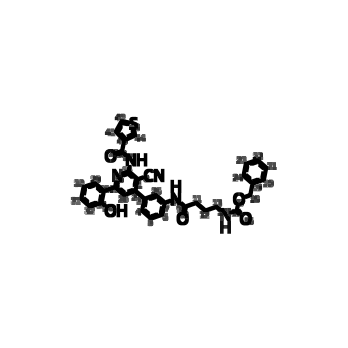 N#Cc1c(-c2cccc(NC(=O)CCCNC(=O)OCc3ccccc3)c2)cc(-c2ccccc2O)nc1NC(=O)c1ccsc1